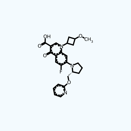 COC1CC(n2cc(C(=O)O)c(=O)c3cc(F)c(N4CCC[C@@H]4COc4ccccn4)cc32)C1